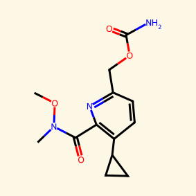 CON(C)C(=O)c1nc(COC(N)=O)ccc1C1CC1